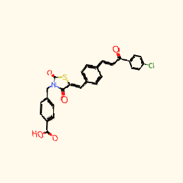 O=C(O)c1ccc(CN2C(=O)S/C(=C\c3ccc(/C=C/C(=O)c4ccc(Cl)cc4)cc3)C2=O)cc1